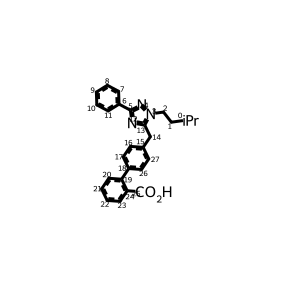 CC(C)CCn1nc(-c2ccccc2)nc1Cc1ccc(-c2ccccc2C(=O)O)cc1